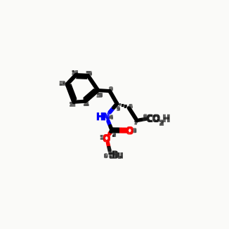 CC(C)(C)OC(=O)N[C@@H](CCC(=O)O)Cc1ccccc1